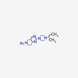 C/C=C(\C)N1CCN(c2ncc3c(n2)CCN(C(C)=O)C3)CC1